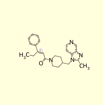 CC/C(=C\C(=O)N1CCC(Cn2c(C)nc3cnccc32)CC1)c1ccccc1